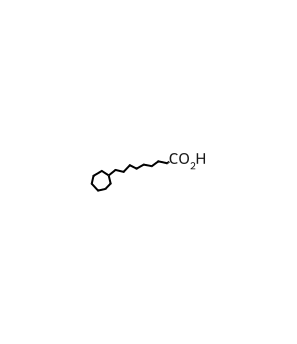 O=C(O)CCCCCCCCC1CCCCCC1